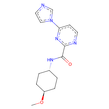 CO[C@H]1CC[C@H](NC(=O)c2nccc(-n3ccnc3)n2)CC1